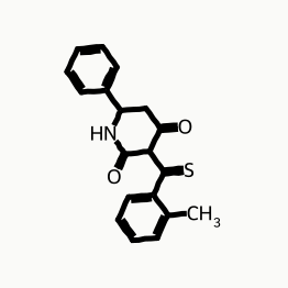 Cc1ccccc1C(=S)C1C(=O)CC(c2ccccc2)NC1=O